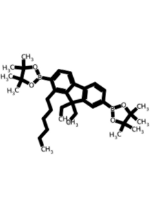 CCCCCCc1c(B2OC(C)(C)C(C)(C)O2)ccc2c1C(CC)(CC)c1cc(B3OC(C)(C)C(C)(C)O3)ccc1-2